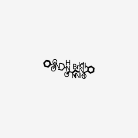 O=C(Nc1[nH]nc(C(=O)NC2CCN(S(=O)(=O)c3ccccc3)CC2)c1Br)c1ccccc1Cl